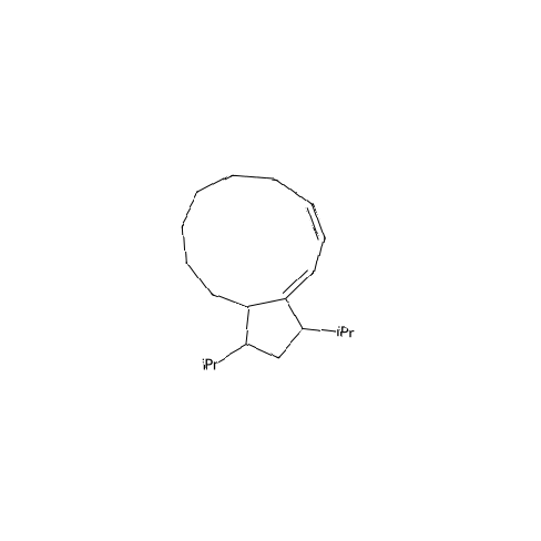 CC(C)C1CC(C(C)C)C2CCCCCCC=CC=C12